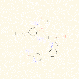 CNC(=O)c1cc(Oc2cccc3cc(C(=O)O)n(C)c23)ccn1.COc1c(N)cc(C(C)(C)C)cc1NS(C)(=O)=O